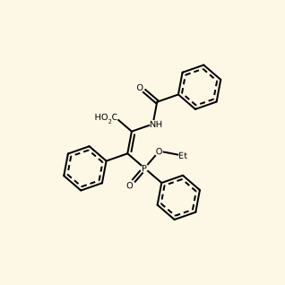 CCOP(=O)(C(=C(NC(=O)c1ccccc1)C(=O)O)c1ccccc1)c1ccccc1